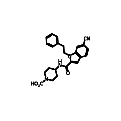 N#Cc1ccc2cc(C(=O)NC3CCN(C(=O)O)CC3)n(CCc3ccccc3)c2c1